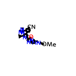 COCCNCc1ccc2ncc(-c3cc(-c4ccc(C#N)cc4-c4nncn4C)cc(C4CC4)n3)c(=O)n2c1